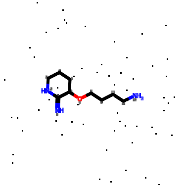 N=C1NCCCC1OCCCCN